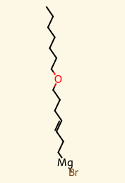 CCCCCCCOCCC/C=C/C[CH2][Mg][Br]